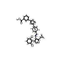 COC(=O)c1cccc(-c2noc(C34CCC(/C=C/c5c(-c6c(Cl)cccc6Cl)noc5C5CC5)(CC3)CC4)n2)c1